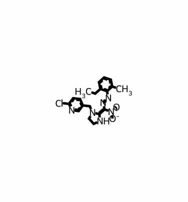 CCc1cccc(C)c1/N=N/C(=C1/NCCN1Cc1ccc(Cl)nc1)[N+](=O)[O-]